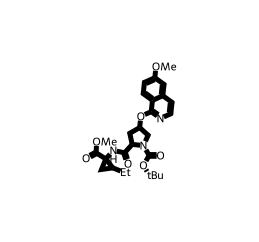 CCC1CC1(NC(=O)C1CC(Oc2nccc3cc(OC)ccc23)CN1C(=O)OC(C)(C)C)C(=O)OC